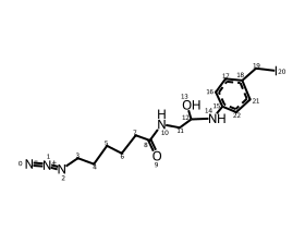 [N-]=[N+]=NCCCCCC(=O)NCC(O)Nc1ccc(CI)cc1